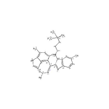 COc1cc(C)c2[nH]ccc2c1/C(=N\[S+]([O-])C(C)(C)C)c1nc2ccc(C#N)cc2n1COCC[Si](C)(C)C